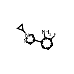 Nc1c(F)cccc1-c1cnn(C2CC2)c1